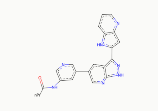 CCCC(=O)Nc1cncc(-c2cnc3[nH]nc(-c4cc5ncccc5[nH]4)c3c2)c1